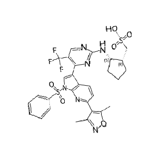 Cc1noc(C)c1-c1ccc2c(-c3nc(N[C@H]4CCC[C@H]4CS(=O)(=O)O)ncc3C(F)(F)F)cn(S(=O)(=O)c3ccccc3)c2n1